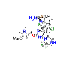 CO[C@H]1C[C@@H](COc2nc(N3CCNCC(F)(F)C3)c3cc(Cl)c(-c4cccc5sc(N)nc45)c(F)c3n2)N(C)C1